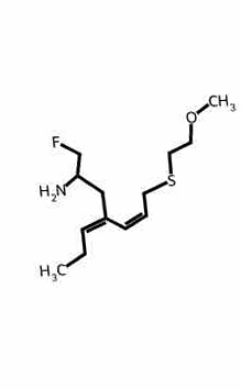 CC/C=C(\C=C/CSCCOC)CC(N)CF